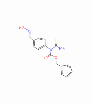 NC(=S)N(C(=O)OCc1ccccc1)c1ccc(C=NO)cc1